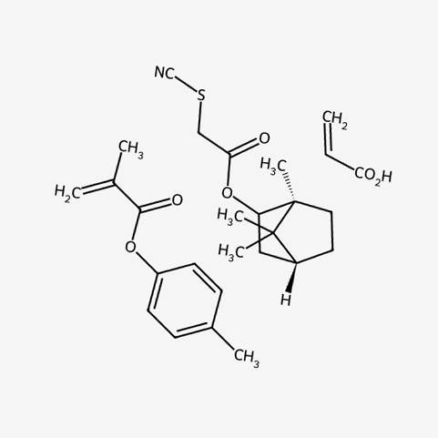 C=C(C)C(=O)Oc1ccc(C)cc1.C=CC(=O)O.CC1(C)[C@@H]2CC[C@]1(C)C(OC(=O)CSC#N)C2